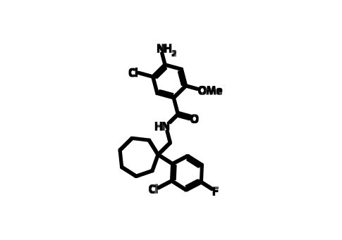 COc1cc(N)c(Cl)cc1C(=O)NCC1(c2ccc(F)cc2Cl)CCCCCC1